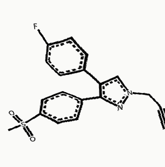 C#CCn1cc(-c2ccc(F)cc2)c(-c2ccc(S(C)(=O)=O)cc2)n1